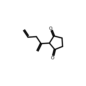 C=CCC(=C)[C]1C(=O)CCC1=O